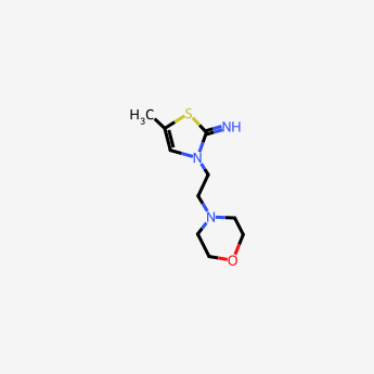 Cc1cn(CCN2CCOCC2)c(=N)s1